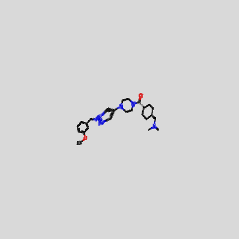 CCOc1cccc(Cn2cc(N3CCN(C(=O)[C@H]4CC[C@H](CN(C)C)CC4)CC3)cn2)c1